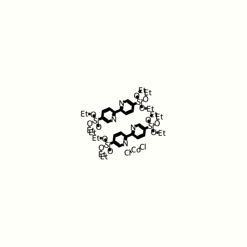 CCO[Si](OCC)(OCC)c1ccc(-c2ccc([Si](OCC)(OCC)OCC)cn2)nc1.CCO[Si](OCC)(OCC)c1ccc(-c2ccc([Si](OCC)(OCC)OCC)cn2)nc1.[Cl][Co][Cl]